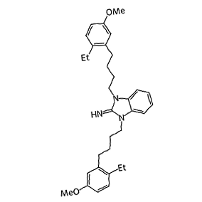 CCc1ccc(OC)cc1CCCCn1c(=N)n(CCCCc2cc(OC)ccc2CC)c2ccccc21